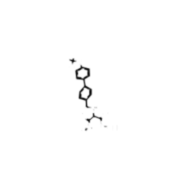 CNC(=O)C(C(=O)NO)N(C)C(=O)c1ccc(-c2ccc3c(c2)OC(F)(F)O3)cc1